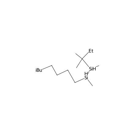 CCC(C)CCCC[SiH](C)[SiH](C)C(C)(C)CC